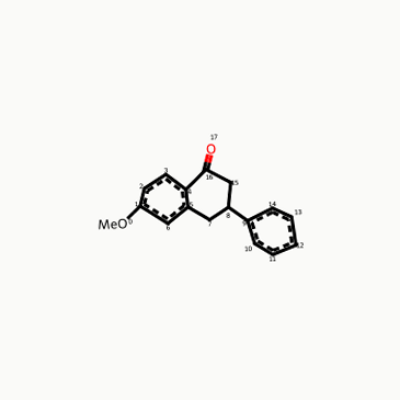 COc1ccc2c(c1)CC(c1ccccc1)CC2=O